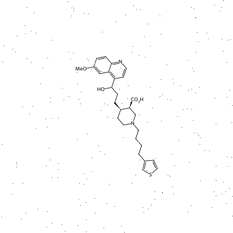 COc1ccc2nccc(C(O)CC[C@@H]3CCN(CCCCc4ccsc4)C[C@@H]3C(=O)O)c2c1